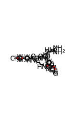 N=C(N)NCCCCC(NC(=O)c1ccc(C23CCC(Cl)(CC2)CC3)cc1)OBOC(CCCCNC(=N)N)NC(=O)c1ccc(C23CCC(Cl)(CC2)CC3)cc1